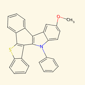 COc1ccc2c(c1)c1c3ccccc3c3sc4ccccc4c3c1n2-c1ccccc1